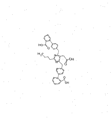 CCCCc1nc(Cc2ccc(-c3ccccc3C(=O)O)cc2)c(CC(=O)O)c(Cc2ccc(-c3ccccc3C(=O)O)cc2)n1